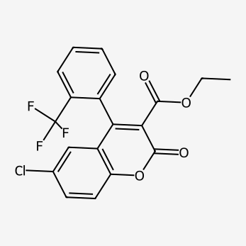 CCOC(=O)c1c(-c2ccccc2C(F)(F)F)c2cc(Cl)ccc2oc1=O